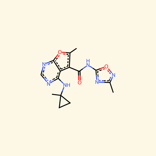 Cc1noc(NC(=O)c2c(C)oc3ncnc(NC4(C)CC4)c23)n1